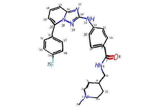 CN1CCC(CNC(=O)c2ccc(Nc3nc4cccc(-c5ccc(F)cc5)n4n3)cc2)CC1